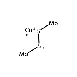 [Cu].[Mo][S][S][Mo]